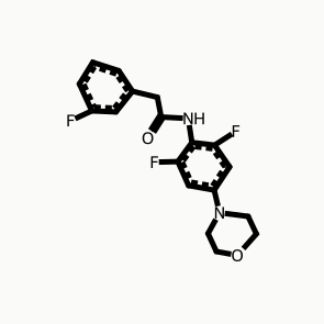 O=C(Cc1cccc(F)c1)Nc1c(F)cc(N2CCOCC2)cc1F